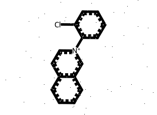 Clc1ccccc1-[n+]1ccc2ccccc2c1